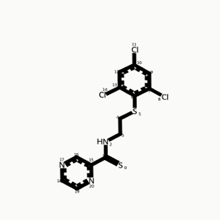 S=C(NCCSc1c(Cl)cc(Cl)cc1Cl)c1cnccn1